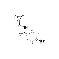 CC(C)[C@H]1CC[C@@H](C(=O)NCC2CC2)CC1